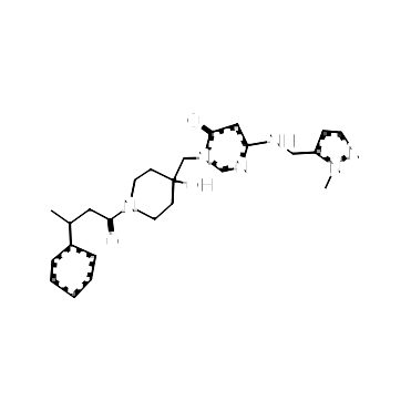 CC(CC(=O)N1CCC(O)(Cn2cnc(NCc3ccnn3C)cc2=O)CC1)c1ccccc1